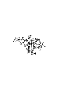 CO[C@@]1(NC(=O)C(N)c2ccco2)C(=O)N2C(C(=O)O)=C(COC(C)=O)CS[C@@H]21.O=C(O)C(F)(F)F